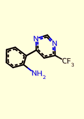 Nc1ccccc1-c1cc(C(F)(F)F)ncn1